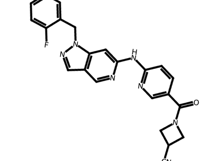 N#CC1CN(C(=O)c2ccc(Nc3cc4c(cn3)cnn4Cc3ccccc3F)nc2)C1